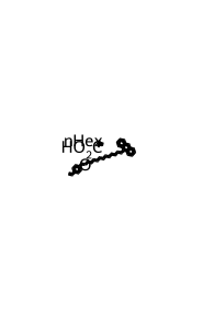 C=C(CCCCCC)C(=O)O.C=Cc1ccc(COCCCCCCCCCCCCc2c3ccccc3cc3ccccc23)cc1